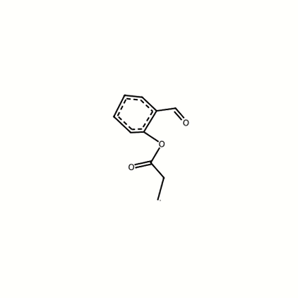 [CH2]CC(=O)Oc1ccccc1C=O